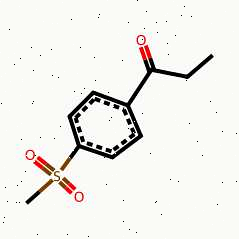 CCC(=O)c1ccc(S(C)(=O)=O)cc1